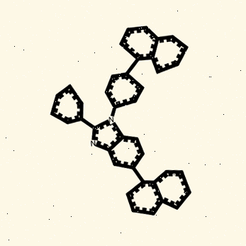 c1ccc(-c2nc3cc(-c4cccc5ccccc45)ccc3n2-c2ccc(-c3cccc4ccccc34)cc2)cc1